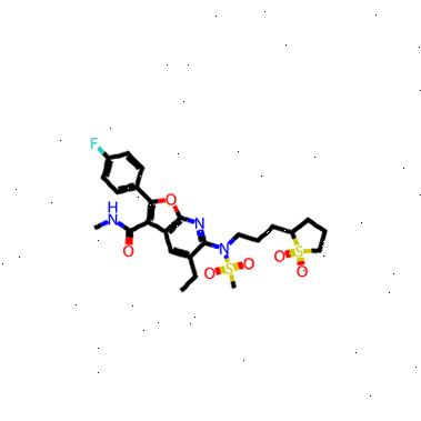 CCc1cc2c(C(=O)NC)c(-c3ccc(F)cc3)oc2nc1N(CCCC1CCCS1(=O)=O)S(C)(=O)=O